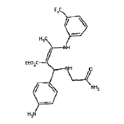 CCOC(=O)/C(=C(\C)Nc1cccc(C(F)(F)F)c1)C(NCC(N)=O)c1ccc(N)cc1